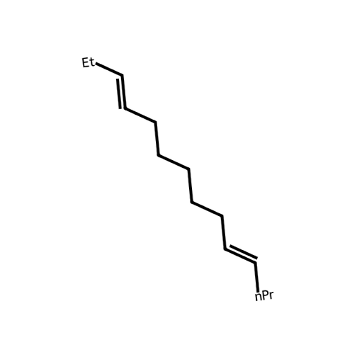 [CH2]CC=CCCCCCC=CCCC